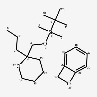 CCCC1(CO[Si](C)(C)C(C)(C)C)CCCCO1.c1ccc2c(c1)CO2